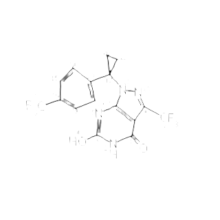 O=c1[nH]c(O)nc2c1c(C(F)(F)F)nn2C1(c2ccc(C(F)(F)F)cc2)CC1